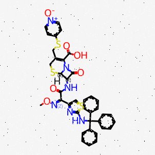 CO/N=C(\C(=O)N[C@@H]1C(=O)N2C(C(=O)O)=C(CSc3cc[n+]([O-])cc3)CS[C@H]12)c1csc(NC(c2ccccc2)(c2ccccc2)c2ccccc2)n1